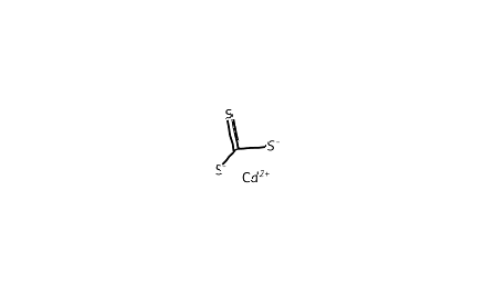 S=C([S-])[S-].[Cd+2]